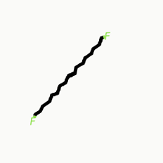 FCCCCCCCC=CCCCCCCCCF